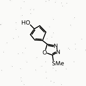 [CH2]Sc1nnc(-c2ccc(O)cc2)o1